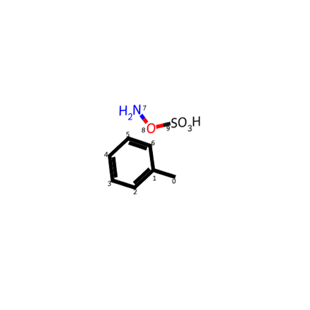 Cc1ccccc1.NOS(=O)(=O)O